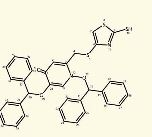 O=c1cc(CSc2csc(S)n2)n(OC(c2ccccc2)c2ccccc2)cc1OC(c1ccccc1)c1ccccc1